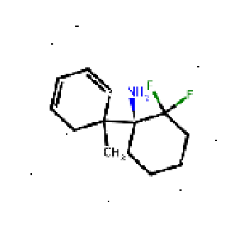 CC1([C@@]2(N)CCCCC2(F)F)C=CC=CC1